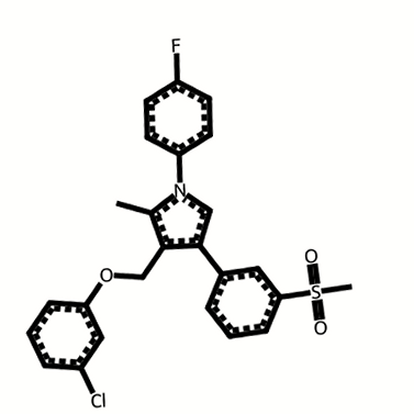 Cc1c(COc2cccc(Cl)c2)c(-c2cccc(S(C)(=O)=O)c2)cn1-c1ccc(F)cc1